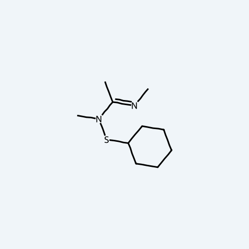 CN=C(C)N(C)SC1CCCCC1